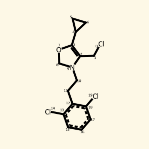 ClCC1=C(C2CC2)OCN1CCc1c(Cl)cccc1Cl